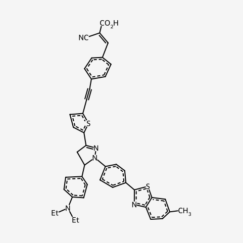 CCN(CC)c1ccc(C2CC(c3ccc(C#Cc4ccc(/C=C(\C#N)C(=O)O)cc4)s3)=NN2c2ccc(-c3nc4ccc(C)cc4s3)cc2)cc1